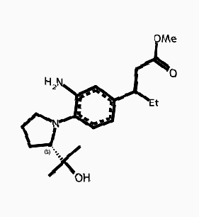 CCC(CC(=O)OC)c1ccc(N2CCC[C@H]2C(C)(C)O)c(N)c1